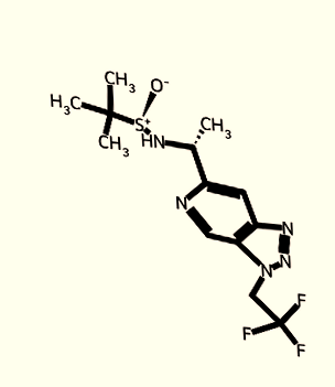 C[C@@H](N[S@+]([O-])C(C)(C)C)c1cc2nnn(CC(F)(F)F)c2cn1